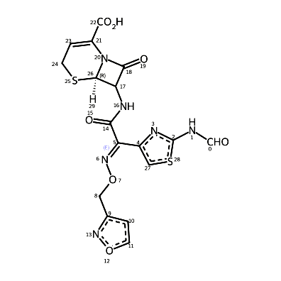 O=CNc1nc(/C(=N\OCc2ccon2)C(=O)NC2C(=O)N3C(C(=O)O)=CCS[C@H]23)cs1